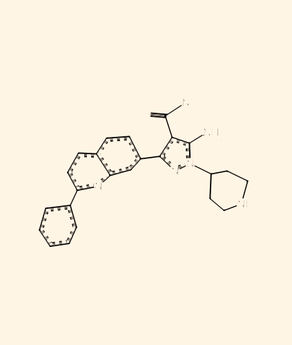 NC(=O)c1c(-c2ccc3ccc(-c4ccccc4)nc3c2)nn(C2CCNCC2)c1N